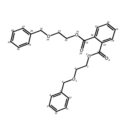 O=C(OCCOCc1ccccc1)c1ccccc1C(=O)OCCOCc1ccccc1